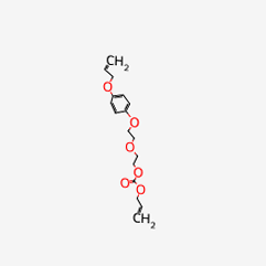 C=CCOC(=O)OCCOCCOc1ccc(OCC=C)cc1